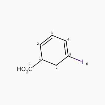 O=C(O)C1C=CC=C(I)C1